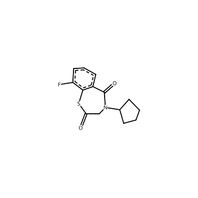 O=C1CN(C2CCCC2)C(=O)c2cccc(F)c2S1